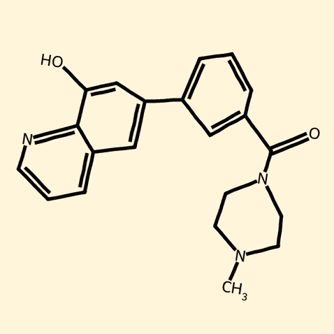 CN1CCN(C(=O)c2cccc(-c3cc(O)c4ncccc4c3)c2)CC1